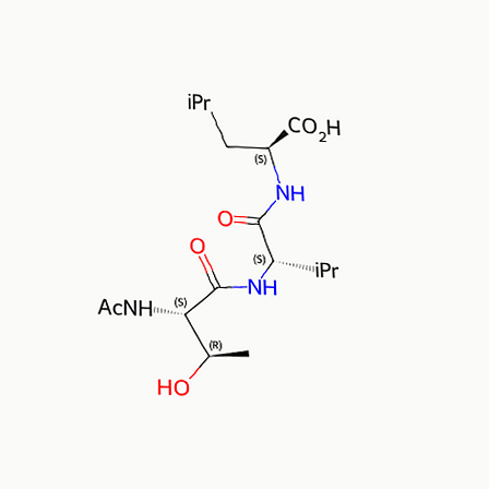 CC(=O)N[C@H](C(=O)N[C@H](C(=O)N[C@@H](CC(C)C)C(=O)O)C(C)C)[C@@H](C)O